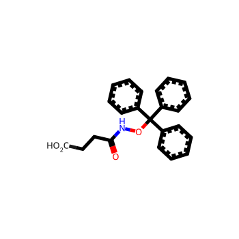 O=C(O)CCC(=O)NOC(c1ccccc1)(c1ccccc1)c1ccccc1